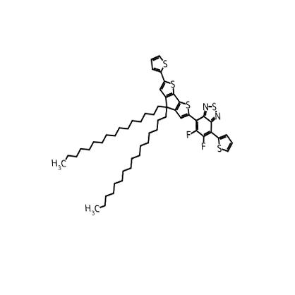 CCCCCCCCCCCCCCCCC1(CCCCCCCCCCCCCCCC)c2cc(-c3cccs3)sc2-c2sc(-c3c(F)c(F)c(-c4cccs4)c4nsnc34)cc21